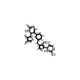 CCC1=CN=C(CC)NC1c1scc(Cc2cccc(C3=CN=C(C)NC3c3scc(C)c3C)c2)c1C